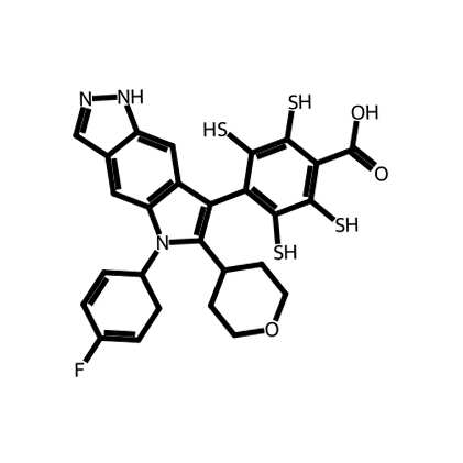 O=C(O)c1c(S)c(S)c(-c2c(C3CCOCC3)n(C3C=CC(F)=CC3)c3cc4cn[nH]c4cc23)c(S)c1S